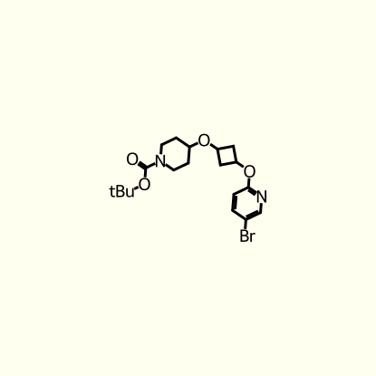 CC(C)(C)OC(=O)N1CCC(OC2CC(Oc3ccc(Br)cn3)C2)CC1